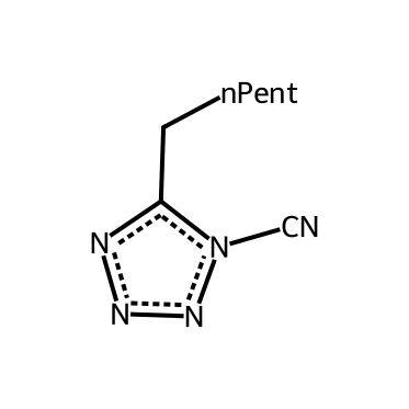 CCCCCCc1nnnn1C#N